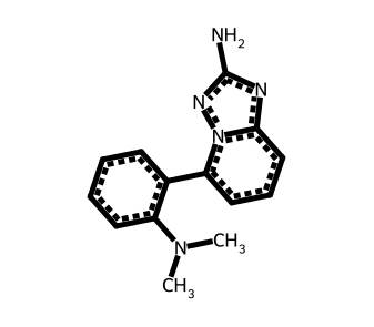 CN(C)c1ccccc1-c1cccc2nc(N)nn12